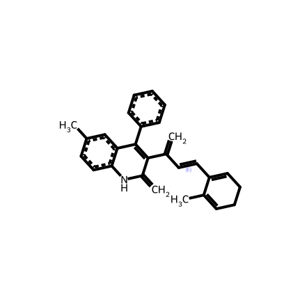 C=C(/C=C/C1=CCCC=C1C)C1=C(c2ccccc2)c2cc(C)ccc2NC1=C